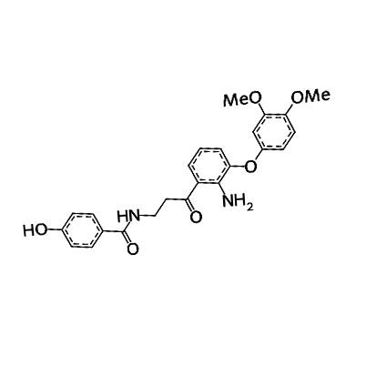 COc1ccc(Oc2cccc(C(=O)CCNC(=O)c3ccc(O)cc3)c2N)cc1OC